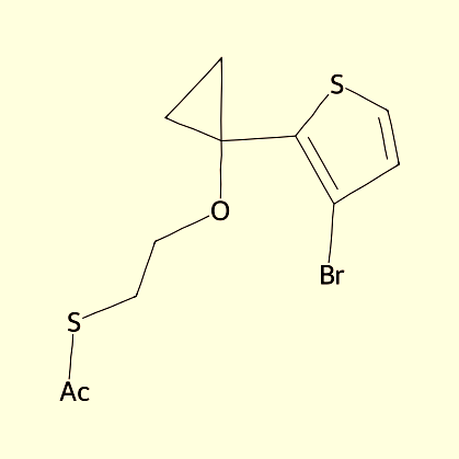 CC(=O)SCCOC1(c2sccc2Br)CC1